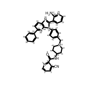 N#Cc1cccnc1C(=O)NC1CCN(Cc2ccc(-n3c(-c4cccnc4N)nc4ccc(-c5ccccc5)nc43)cc2)CC1